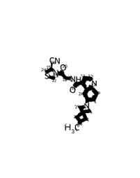 CC1CC2(C1)CN(c1ccc3nccc(C(=O)NCC(=O)N4CSC[C@H]4C#N)c3c1)C2